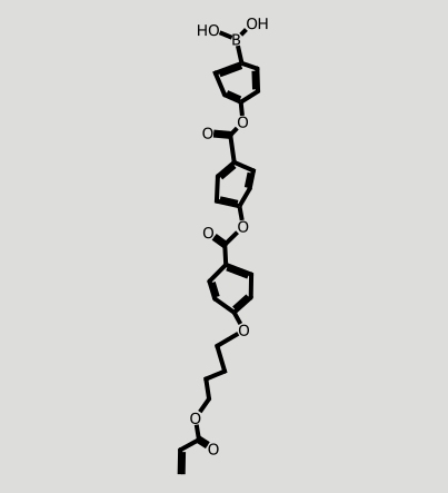 C=CC(=O)OCCCCOc1ccc(C(=O)Oc2ccc(C(=O)Oc3ccc(B(O)O)cc3)cc2)cc1